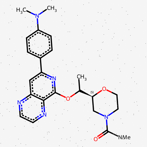 CNC(=O)N1CCO[C@H](C(C)Oc2nc(-c3ccc(N(C)C)cc3)cc3nccnc23)C1